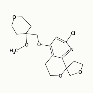 COC1(COc2cc(Cl)nc3c2CCOC32CCOC2)CCOCC1